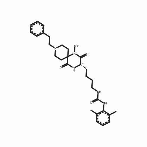 CCCN1C(=O)[C@H](CCCCNC(=O)Nc2c(C)cccc2C)NC(=O)C12CCN(CCc1ccccc1)CC2